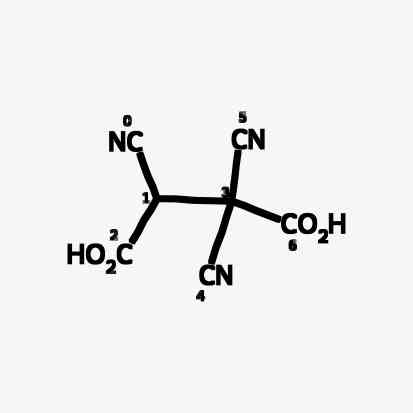 N#CC(C(=O)O)C(C#N)(C#N)C(=O)O